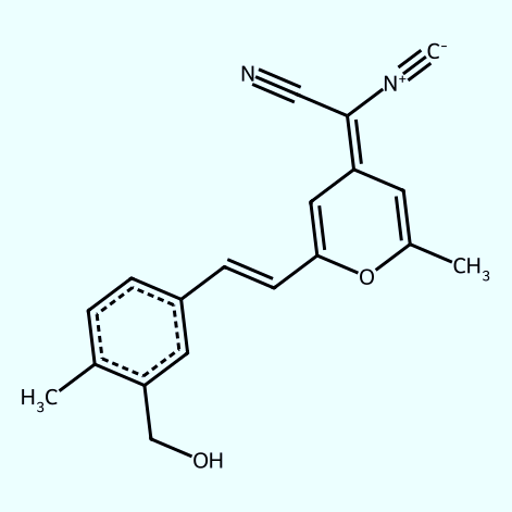 [C-]#[N+]/C(C#N)=C1\C=C(C)OC(/C=C/c2ccc(C)c(CO)c2)=C1